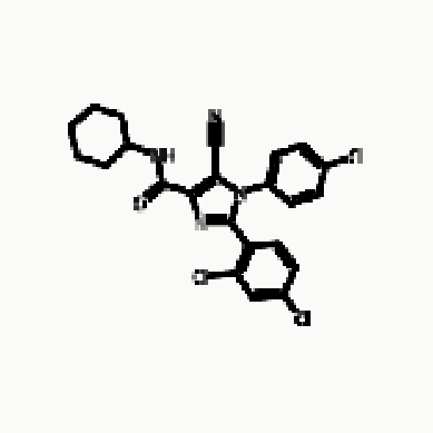 N#Cc1c(C(=O)NC2CCCCC2)nc(-c2ccc(Cl)cc2Cl)n1-c1ccc(Cl)cc1